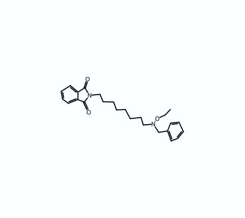 CCON(CCCCCCCCN1C(=O)c2ccccc2C1=O)Cc1ccccc1